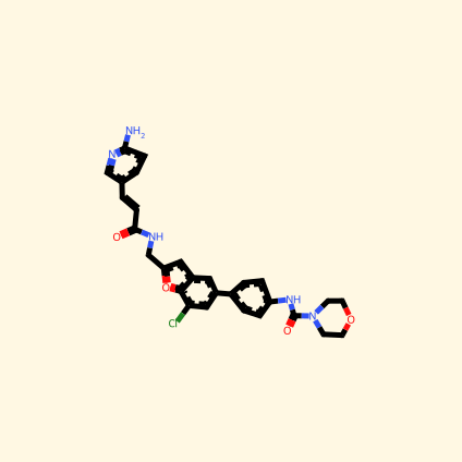 Nc1ccc(/C=C/C(=O)NCc2cc3cc(-c4ccc(NC(=O)N5CCOCC5)cc4)cc(Cl)c3o2)cn1